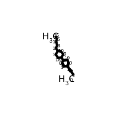 CCC#Cc1ccc(C2CCC(CCCCC)CC2)cc1